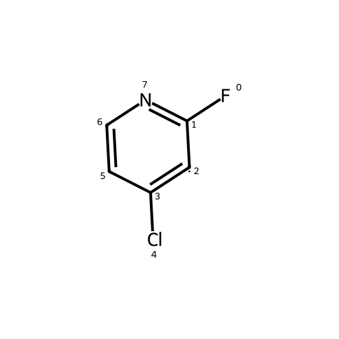 Fc1[c]c(Cl)ccn1